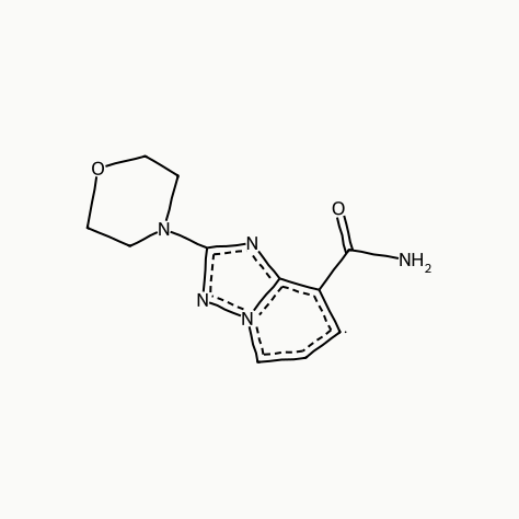 NC(=O)c1[c]ccn2nc(N3CCOCC3)nc12